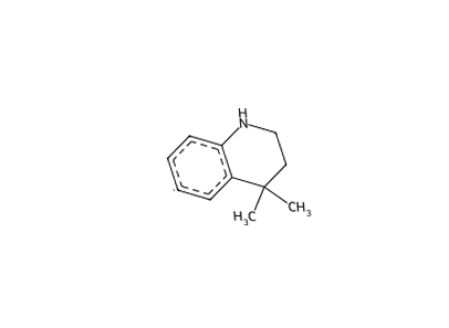 CC1(C)CCNc2cc[c]cc21